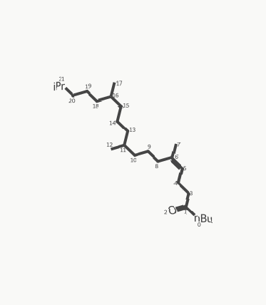 CCCCC(=O)CCC=C(C)CCCC(C)CCCC(C)CCCC(C)C